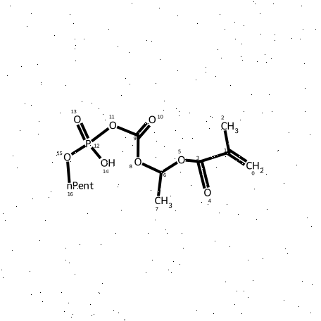 C=C(C)C(=O)OC(C)OC(=O)OP(=O)(O)OCCCCC